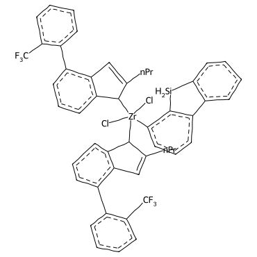 CCCC1=Cc2c(-c3ccccc3C(F)(F)F)cccc2[CH]1[Zr]([Cl])([Cl])([c]1cccc2c1[SiH2]c1ccccc1-2)[CH]1C(CCC)=Cc2c(-c3ccccc3C(F)(F)F)cccc21